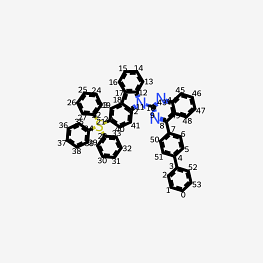 c1ccc(-c2ccc(-c3nc(-n4c5ccccc5c5cc(S(c6ccccc6)(c6ccccc6)c6ccccc6)ccc54)nc4ccccc34)cc2)cc1